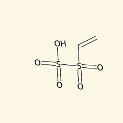 C=CS(=O)(=O)S(=O)(=O)O